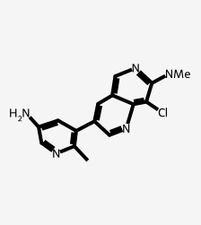 CNc1ncc2cc(-c3cc(N)cnc3C)cnc2c1Cl